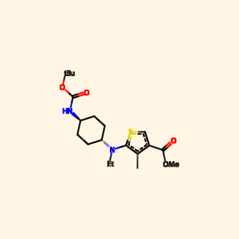 CCN(c1scc(C(=O)OC)c1C)[C@H]1CC[C@H](NC(=O)OC(C)(C)C)CC1